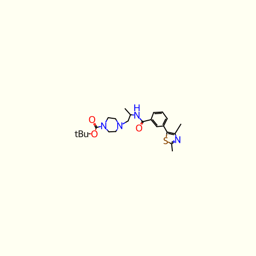 Cc1nc(C)c(-c2cccc(C(=O)NC(C)CN3CCN(C(=O)OC(C)(C)C)CC3)c2)s1